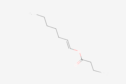 CCCCCCCCCCCCCC=COC(=O)CCC(=O)O